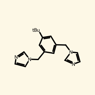 CC(C)(C)c1cc(Cn2ccnc2)cc(Cn2ccnc2)c1